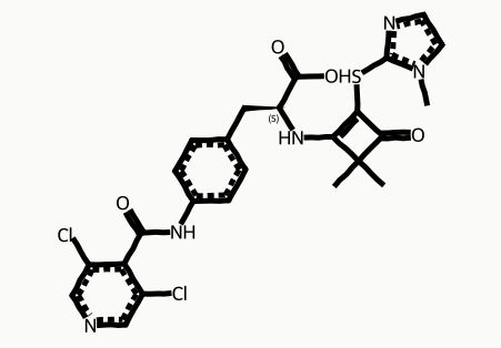 Cn1ccnc1SC1=C(N[C@@H](Cc2ccc(NC(=O)c3c(Cl)cncc3Cl)cc2)C(=O)O)C(C)(C)C1=O